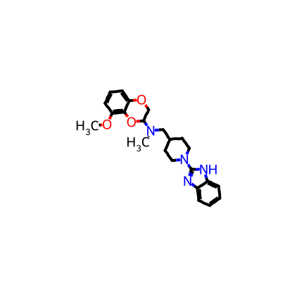 COc1cccc2c1OC(N(C)CC1CCN(c3nc4ccccc4[nH]3)CC1)CO2